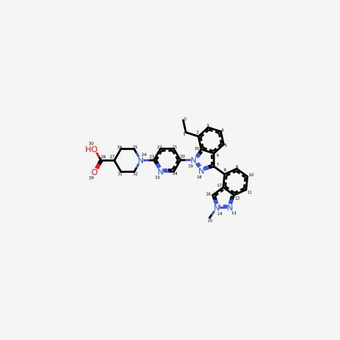 CCc1cccc2c(-c3cccc4nn(C)cc34)nn(-c3ccc(N4CCC(C(=O)O)CC4)nc3)c12